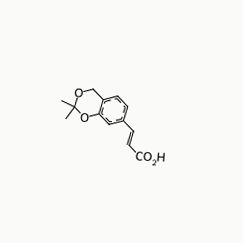 CC1(C)OCc2ccc(C=CC(=O)O)cc2O1